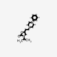 CC(C)N1CC(CCN2CCN(c3ccccc3)CC2)OC1=O